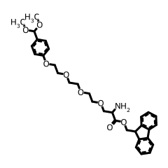 COC(OC)c1ccc(OCCOCCOCCOCC(N)C(=O)OCC2c3ccccc3-c3ccccc32)cc1